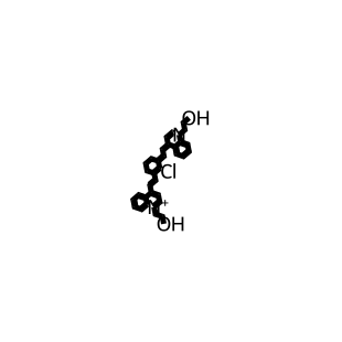 OCCN1C=C/C(=C/C=C2\CCCC(/C=C/c3cc[n+](CCO)c4ccccc34)=C2Cl)c2ccccc21